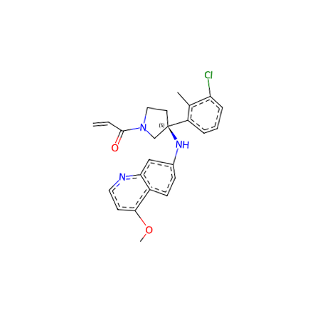 C=CC(=O)N1CC[C@](Nc2ccc3c(OC)ccnc3c2)(c2cccc(Cl)c2C)C1